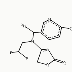 [2H]C(c1ccc(Cl)nc1)N(CC(F)F)C1=CC(=O)OC1